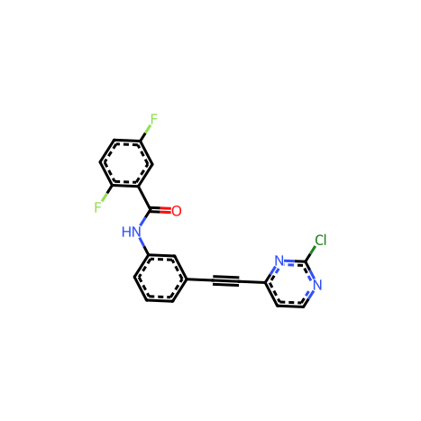 O=C(Nc1cccc(C#Cc2ccnc(Cl)n2)c1)c1cc(F)ccc1F